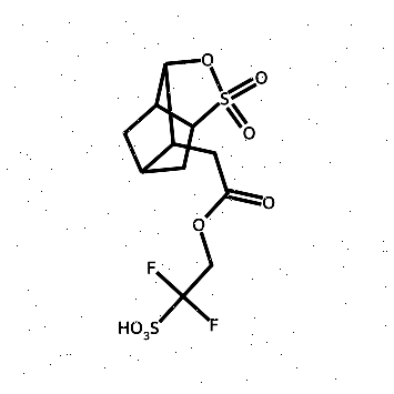 O=C(CC1C2CC3C1OS(=O)(=O)C3C2)OCC(F)(F)S(=O)(=O)O